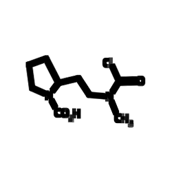 CN(CCC1CCCN1C(=O)O)C(=O)Cl